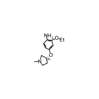 CCOc1cc(O[C@@H]2CCN(C)C2)ccc1N